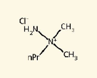 CCC[N+](C)(C)N.[Cl-]